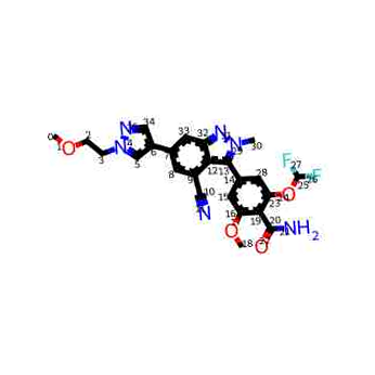 COCCn1cc(-c2cc(C#N)c3c(-c4cc(OC)c(C(N)=O)c(OC(F)F)c4)n(C)nc3c2)cn1